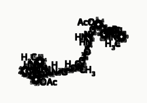 CCCC[N+]1(Cc2ccc(OC(C)=O)c(OC/C(=C/NCCOCCOCC(C)(C)COCCOCCN/C=C(/COc3cc(C[N+]4(CCCC)CCCCC4C(=O)Nc4c(C)cccc4C)ccc3OC(C)=O)N=N)N=N)c2)CCCCC1C(=O)Nc1c(C)cccc1C